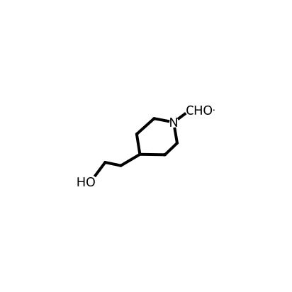 O=[C]N1CCC(CCO)CC1